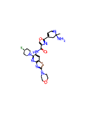 CC1(N)CC(c2nc(C(=O)Nc3cc4sc(N5CCOCC5)nc4nc3N3CCC(F)CC3)co2)=CC=N1